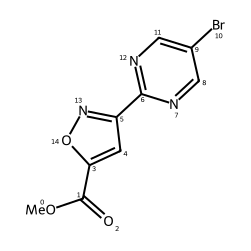 COC(=O)c1cc(-c2ncc(Br)cn2)no1